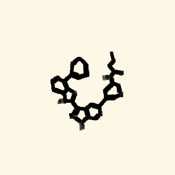 CCCC(=O)Nc1cncc(-c2cc3c(-c4nc5c(-c6ccccn6)cccc5[nH]4)n[nH]c3cn2)c1